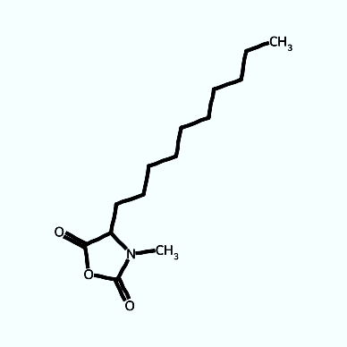 CCCCCCCCCCC1C(=O)OC(=O)N1C